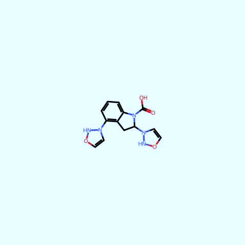 O=C(O)N1c2cccc(N3C=CON3)c2CC1N1C=CON1